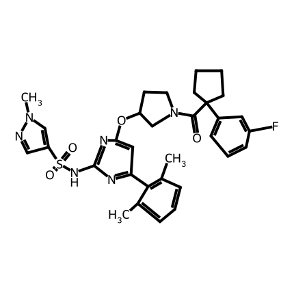 Cc1cccc(C)c1-c1cc(OC2CCN(C(=O)C3(c4cccc(F)c4)CCCC3)C2)nc(NS(=O)(=O)c2cnn(C)c2)n1